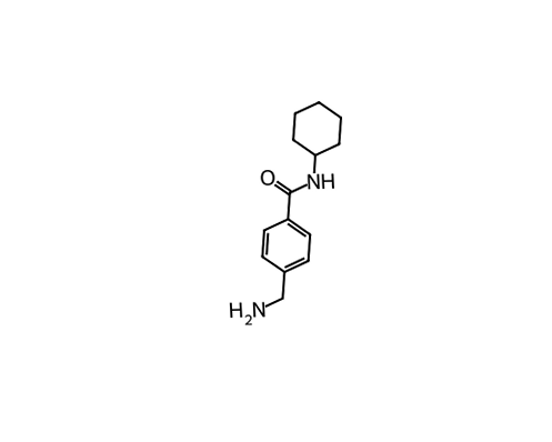 NCc1ccc(C(=O)NC2CCCCC2)cc1